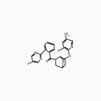 O=C(c1ccccc1-c1ncc(F)cn1)N1CC2CCC1C(Oc1ncc(C(F)(F)F)cc1F)C2